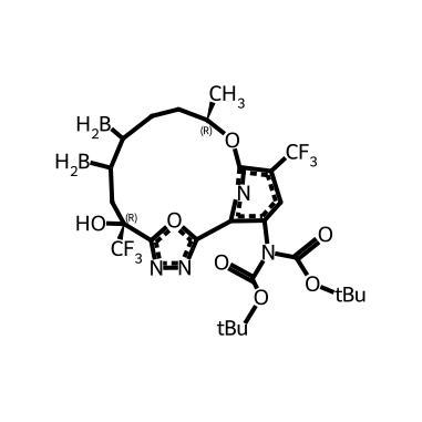 BC1CC[C@@H](C)Oc2nc(c(N(C(=O)OC(C)(C)C)C(=O)OC(C)(C)C)cc2C(F)(F)F)-c2nnc(o2)[C@@](O)(C(F)(F)F)CC1B